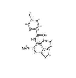 CNc1cc2c3c(cccc3c1NC(=O)c1ccc(F)cc1)CC2